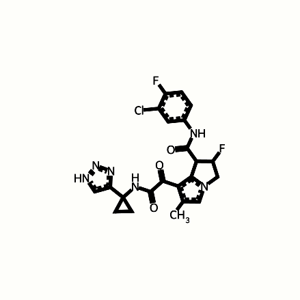 Cc1cn2c(c1C(=O)C(=O)NC1(c3c[nH]nn3)CC1)C(C(=O)Nc1ccc(F)c(Cl)c1)C(F)C2